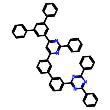 c1ccc(-c2cc(-c3ccccc3)cc(-c3cc(-c4cccc(-c5cccc(-c6nc(-c7ccccc7)nc(-c7ccccc7)n6)c5)c4)nc(-c4ccccc4)n3)c2)cc1